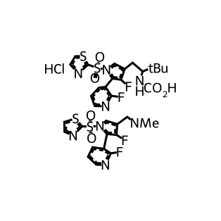 CC(C)(C)C(Cc1cn(S(=O)(=O)c2nccs2)c(-c2cccnc2F)c1F)NC(=O)O.CNCc1cn(S(=O)(=O)c2nccs2)c(-c2cccnc2F)c1F.Cl